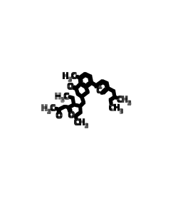 CCCC(CC1CC(=O)c2c(C)ccc(-c3ccc(CC(C)CC)cc3)c2C1)C(CC)C(=O)CC(C)=O